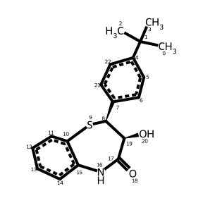 CC(C)(C)c1ccc([C@@H]2Sc3ccccc3NC(=O)[C@@H]2O)cc1